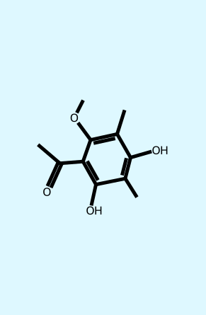 COc1c(C)c(O)c(C)c(O)c1C(C)=O